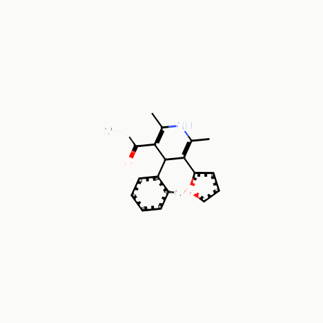 COC(=O)C1=C(C)NC(C)=C(c2ccco2)C1c1ccccc1[N+](=O)[O-]